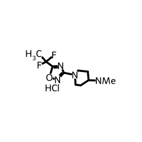 CNC1CCN(c2noc(C(C)(F)F)n2)CC1.Cl